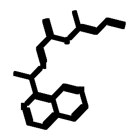 C=C/C=C(\C)SC(=C)C=NC(C)c1nccc2ccncc12